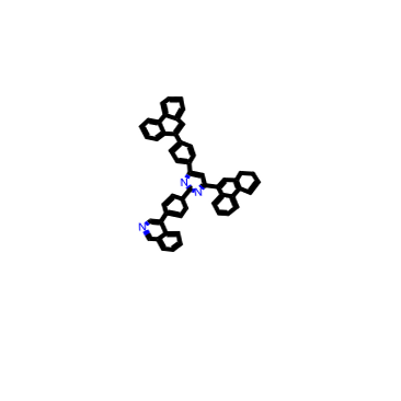 C1=Cc2c(cc(-c3cc(-c4ccc(-c5cc6ccccc6c6ccccc56)cc4)nc(C4C=CC(c5cncc6ccccc56)=CC4)n3)c3ccccc23)CC1